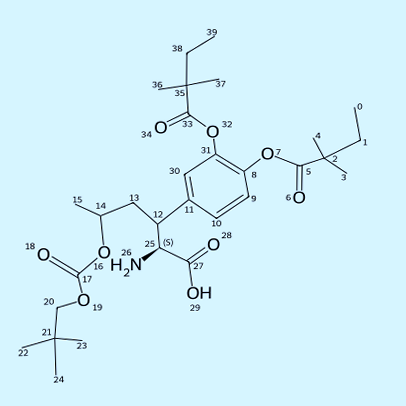 CCC(C)(C)C(=O)Oc1ccc(C(CC(C)OC(=O)OCC(C)(C)C)[C@H](N)C(=O)O)cc1OC(=O)C(C)(C)CC